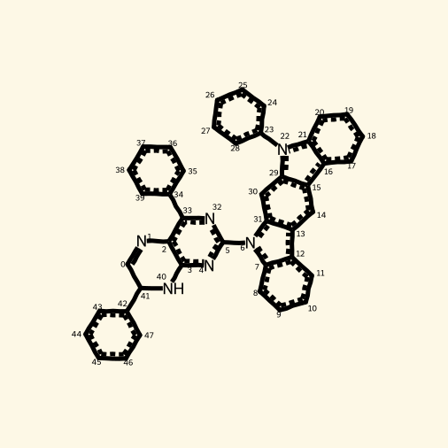 C1=Nc2c(nc(-n3c4ccccc4c4cc5c6ccccc6n(-c6ccccc6)c5cc43)nc2-c2ccccc2)NC1c1ccccc1